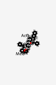 COc1ccc(O[C@@H]2O[C@H](COCc3ccccc3)[C@@H](OC3O[C@H](COC(C)=O)[C@@H](OC(C)=O)[C@H](OCc4ccc5ccccc5c4)[C@H]3OC(C)=O)[C@H](OCc3ccccc3)[C@H]2N2C(=O)c3ccccc3C2=O)cc1